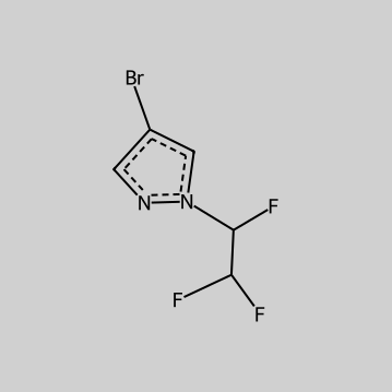 FC(F)C(F)n1cc(Br)cn1